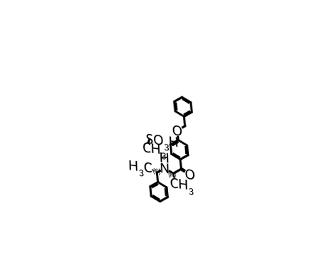 CS(=O)(=O)O.C[C@H](N[C@H](C)C(=O)c1ccc(OCc2ccccc2)cc1)c1ccccc1